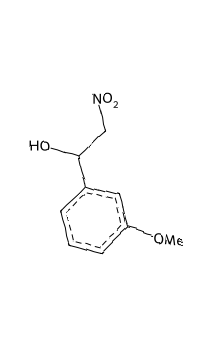 COc1cccc(C(O)C[N+](=O)[O-])c1